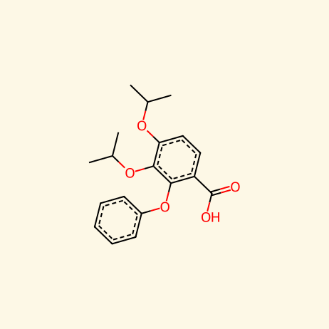 CC(C)Oc1ccc(C(=O)O)c(Oc2ccccc2)c1OC(C)C